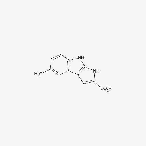 Cc1ccc2[nH]c3[nH]c(C(=O)O)cc3c2c1